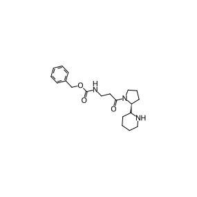 O=C(NCCC(=O)N1CCC[C@H]1C1CCCCN1)OCc1ccccc1